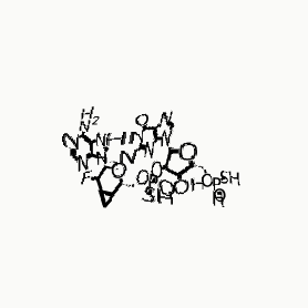 Nc1nc2c(ncn2[C@@H]2O[C@H](CO[PH](=O)S)C(O)C2OP(=O)(S)OC[C@H]2O[C@@H](n3cnc4c(N)ncnc43)C(F)C3CC32)c(=O)[nH]1